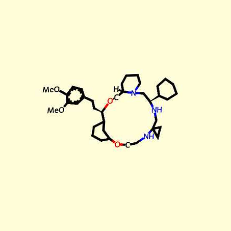 COc1ccc(CC[C@H]2OC[C@@H]3CCCCN3C[C@@H](C3CCCCC3)NCC3(CC3)NCCOC3CCCC2C3)cc1OC